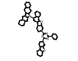 c1ccc(-c2nc(-c3ccc4c(c3)oc3c5ccccc5c(-n5c6cc7ccccc7cc6c6cc7ccccc7cc65)cc43)nc(-c3ccc4c(c3)sc3ccccc34)n2)cc1